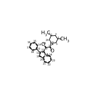 CC1CC(C)CN(C(=O)C(=O)c2c(-c3ccccc3)cc3ccccn23)C1